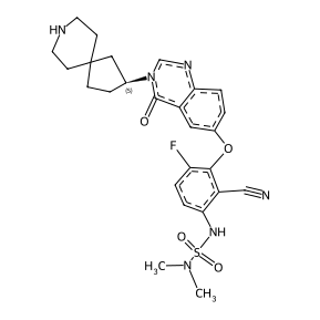 CN(C)S(=O)(=O)Nc1ccc(F)c(Oc2ccc3ncn([C@H]4CCC5(CCNCC5)C4)c(=O)c3c2)c1C#N